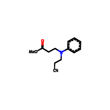 COC(=O)CCN(CCC#N)c1ccccc1